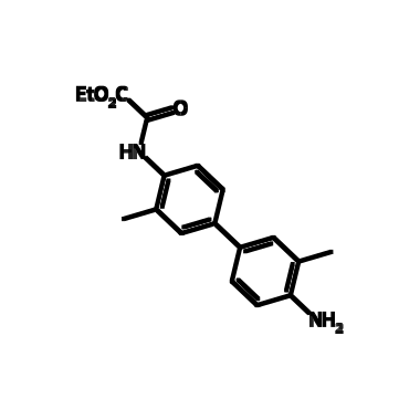 CCOC(=O)C(=O)Nc1ccc(-c2ccc(N)c(C)c2)cc1C